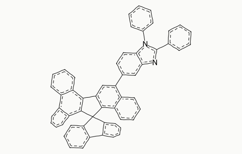 c1ccc(-c2nc3cc(-c4cc5c(c6ccccc46)C4(c6ccccc6-c6ccccc64)c4c-5c5ccccc5c5ccccc45)ccc3n2-c2ccccc2)cc1